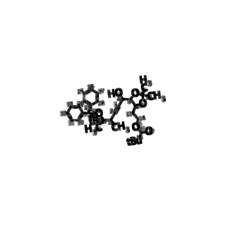 C[C@H](C#CC(O)[C@H]1OC(C)(C)O[C@H]1CCOC(=O)C(C)(C)C)[C@H](C)O[Si](c1ccccc1)(c1ccccc1)C(C)(C)C